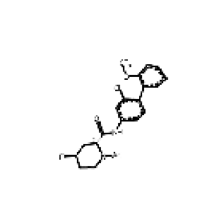 CC(=O)N1CCC(F)C[C@@H]1C(=O)Nc1ccc(-c2ccccc2OC(F)(F)F)c(Cl)c1